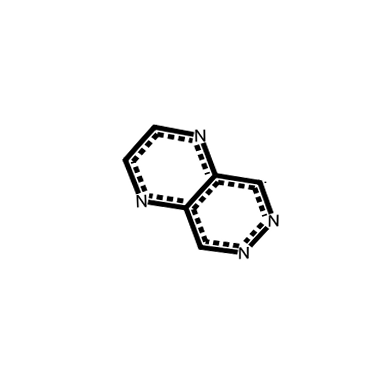 [c]1nncc2nccnc12